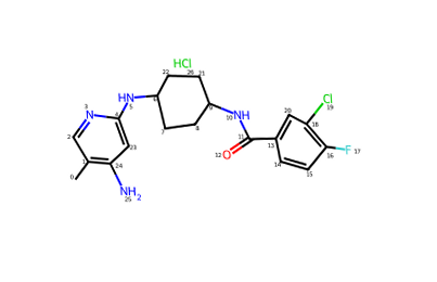 Cc1cnc(NC2CCC(NC(=O)c3ccc(F)c(Cl)c3)CC2)cc1N.Cl